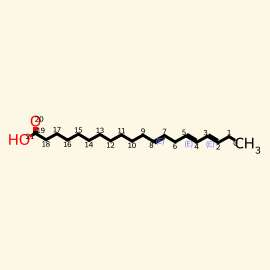 CC/C=C/C=C/C/C=C/CCCCCCCCCCC(=O)O